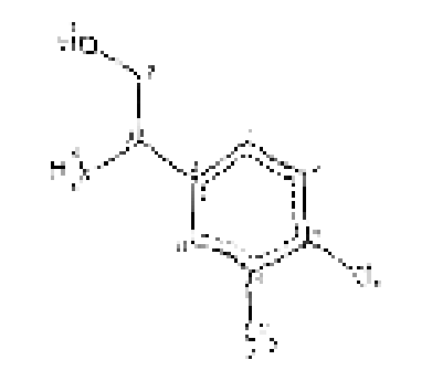 NC(CO)c1ccc(Cl)c(C(F)(F)F)c1